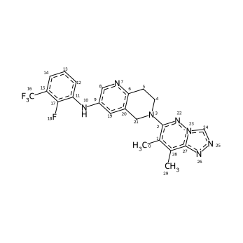 Cc1c(N2CCc3ncc(Nc4cccc(C(F)(F)F)c4F)cc3C2)nn2cnnc2c1C